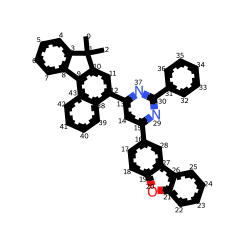 CC1(C)c2ccccc2-c2c1cc(-c1cc(-c3ccc4oc5ccccc5c4c3)nc(-c3ccccc3)n1)c1ccccc21